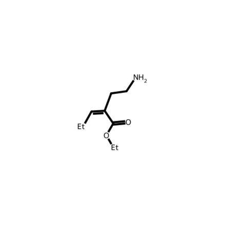 CCC=C(CCN)C(=O)OCC